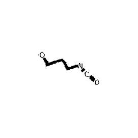 [O]CCCN=C=O